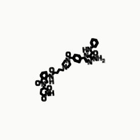 Nc1ncc(-c2ccc(C(=O)N3CCN(CCCC(=O)Nc4cccc5c4CN(C4CCC(=O)NC4=O)C5=O)CC3)cc2)nc1C(=O)Nc1ccccc1